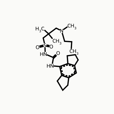 CCCN(C)CC(C)(C)CS(=O)(=O)NC(=O)Nc1c2c(cc3c1CCC3)CCC2